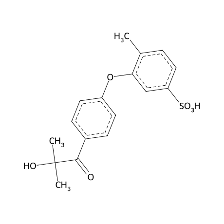 Cc1ccc(S(=O)(=O)O)cc1Oc1ccc(C(=O)C(C)(C)O)cc1